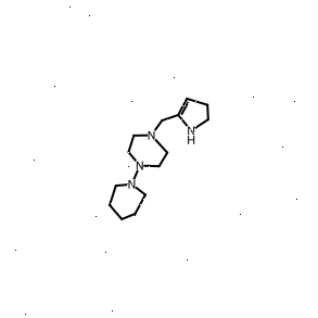 C1=C(CN2CCN(N3CCCCC3)CC2)NCC1